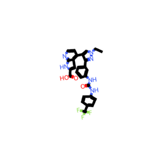 CCn1cc(-c2ccnc3[nH]c(C(=O)O)cc23)c(-c2cccc(NC(=O)Nc3ccc(C(F)(F)F)cc3)c2)n1